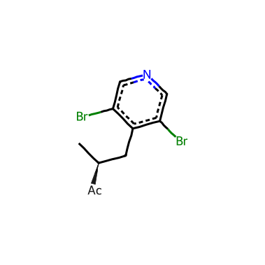 CC(=O)[C@@H](C)Cc1c(Br)cncc1Br